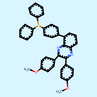 COc1ccc(-c2nc3cccc(-c4ccc(P(c5ccccc5)c5ccccc5)cc4)c3nc2-c2ccc(OC)cc2)cc1